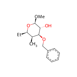 CC[C@H]1O[C@@H](OC)[C@H](O)[C@@H](OCc2ccccc2)[C@H]1C